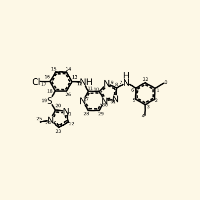 Cc1cc(C)cc(Nc2nc3c(Nc4ccc(Cl)c(Sc5nccn5C)c4)nccn3n2)c1